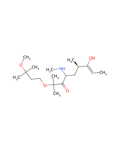 CC=C(O)[C@H](C)CC(NC)C(=O)C(C)(C)OCCC(C)(C)OC